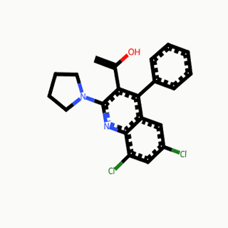 C=C(O)c1c(N2CCCC2)nc2c(Cl)cc(Cl)cc2c1-c1ccccc1